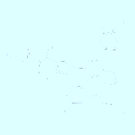 C=CC(=O)N1CCn2nc(-c3nc(-c4ccn(C)c(=O)c4)c4ccsc4c3-c3c(F)cc(F)cc3OCCOC)cc2C1C